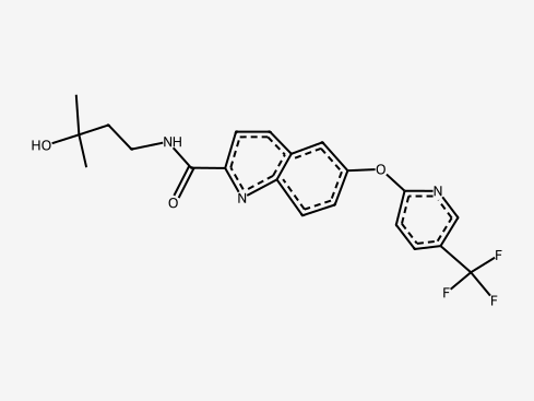 CC(C)(O)CCNC(=O)c1ccc2cc(Oc3ccc(C(F)(F)F)cn3)ccc2n1